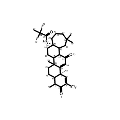 CC1C(=O)C(C#N)=C[C@]2(C)C3=CC(=O)C4C(CC[C@@]5(NC(=O)C(C)(F)F)CCCC(C)(C)CC45)C3(C)CCC12